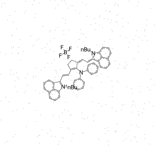 CCCCn1/c(=C\C=C2\CCC(/C=C/C3=[N+](CCCC)c4cccc5cccc3c45)=C2N(c2ccccc2)c2ccccc2)c2cccc3cccc1c32.F[B-](F)(F)F